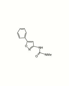 CNC(=O)Nc1cc(-c2ccccc2)on1